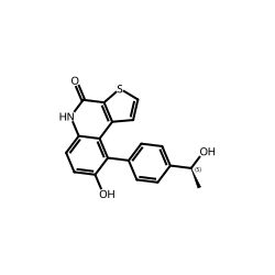 C[C@H](O)c1ccc(-c2c(O)ccc3[nH]c(=O)c4sccc4c23)cc1